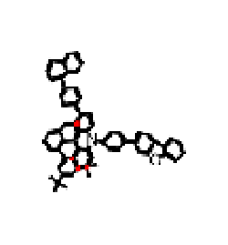 CC(C)(C)c1cc(-c2cccc3cccc(-c4ccccc4N(c4ccc(-c5ccc(-c6cccc7ccccc67)cc5)cc4)c4ccc(-c5ccc6c(c5)oc5ccccc56)cc4)c23)cc(C(C)(C)C)c1